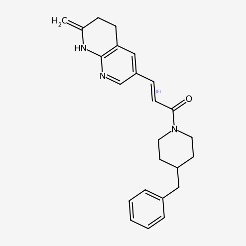 C=C1CCc2cc(/C=C/C(=O)N3CCC(Cc4ccccc4)CC3)cnc2N1